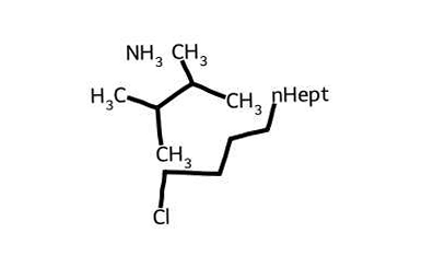 CC(C)C(C)C.CCCCCCCCCCCCl.N